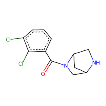 O=C(c1cccc(Cl)c1Cl)N1CC2CC1CN2